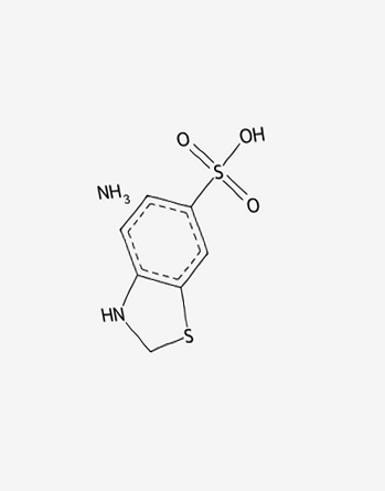 N.O=S(=O)(O)c1ccc2c(c1)SCN2